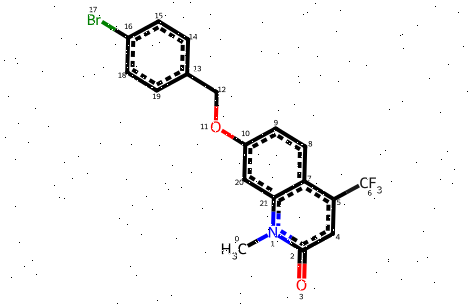 Cn1c(=O)cc(C(F)(F)F)c2ccc(OCc3ccc(Br)cc3)cc21